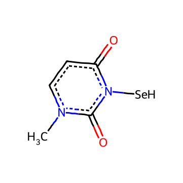 Cn1ccc(=O)n([SeH])c1=O